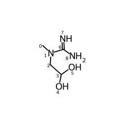 CN(CC(O)O)C(=N)N